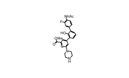 COC(=O)c1cc(-c2cccc(-c3ccc(NC(C)=O)c(F)c3)c2O)cc(N2CCNCC2)n1